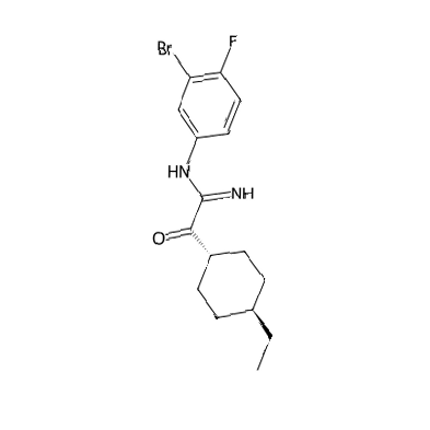 CC[C@H]1CC[C@H](C(=O)C(=N)Nc2ccc(F)c(Br)c2)CC1